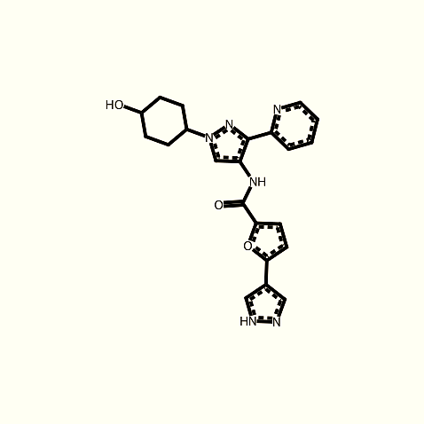 O=C(Nc1cn(C2CCC(O)CC2)nc1-c1ccccn1)c1ccc(-c2cn[nH]c2)o1